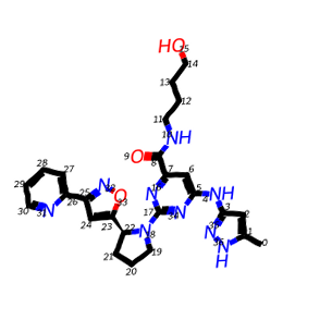 Cc1cc(Nc2cc(C(=O)NCCCCO)nc(N3CCC[C@H]3c3cc(-c4ccccn4)no3)n2)n[nH]1